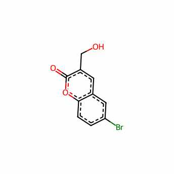 O=c1oc2ccc(Br)cc2cc1CO